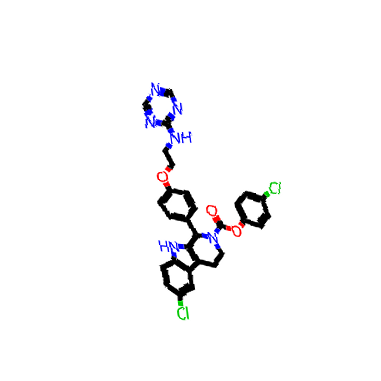 O=C(Oc1ccc(Cl)cc1)N1CCc2c([nH]c3ccc(Cl)cc23)C1c1ccc(OCCNc2ncncn2)cc1